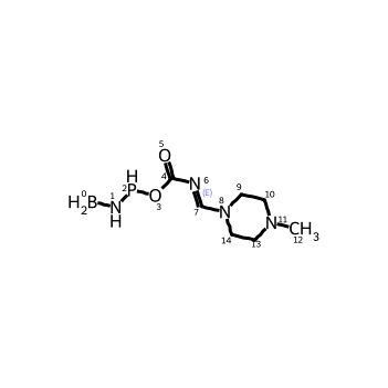 BNPOC(=O)/N=C/N1CCN(C)CC1